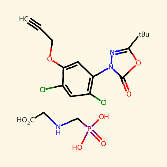 C#CCOc1cc(-n2nc(C(C)(C)C)oc2=O)c(Cl)cc1Cl.O=C(O)CNCP(=O)(O)O